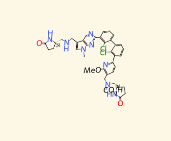 COc1nc(-c2cccc(-c3cccc(-c4ncc5c(CNC[C@@H]6CCC(=O)N6)cn(C)c5n4)c3Cl)c2Cl)ccc1CN(C[C@@H]1CCC(=O)N1)C(=O)O